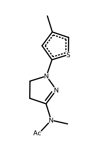 CC(=O)N(C)C1=NN(c2cc(C)cs2)CC1